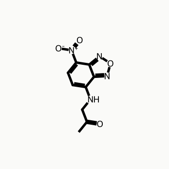 CC(=O)CNc1ccc([N+](=O)[O-])c2nonc12